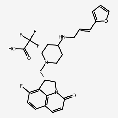 O=C(O)C(F)(F)F.O=c1ccc2ccc(F)c3c2n1C[C@H]3CN1CCC(NC/C=C/c2ccco2)CC1